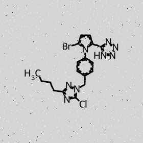 CCCCc1nc(Cl)n(Cc2ccc(-n3c(Br)ccc3-c3nnn[nH]3)cc2)n1